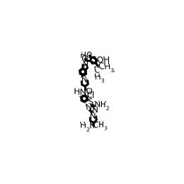 CC(C)c1cc(C(=O)N2Cc3ccc(N4CCC(C(=O)Nc5cccc(Sc6ncc(N7CCC(C)(N)CC7)nc6N)c5Cl)CC4)cc3C2)c(O)cc1O